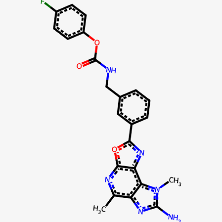 Cc1nc2oc(-c3cccc(CNC(=O)Oc4ccc(F)cc4)c3)nc2c2c1nc(N)n2C